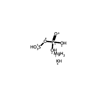 O=P(O)(O)OS(=O)(=O)O.[KH].[MgH2]